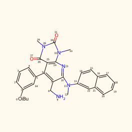 CC(C)COc1cccc(-c2c(CN)c(N(C)c3ccc4ccccc4c3)nc3c2c(=O)n(C)c(=O)n3C)c1